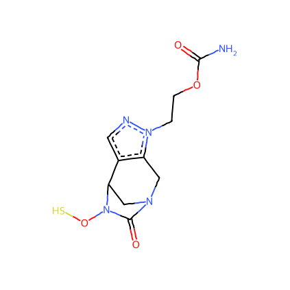 NC(=O)OCCn1ncc2c1CN1CC2N(OS)C1=O